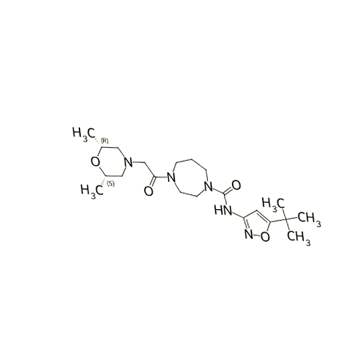 C[C@@H]1CN(CC(=O)N2CCCN(C(=O)Nc3cc(C(C)(C)C)on3)CC2)C[C@H](C)O1